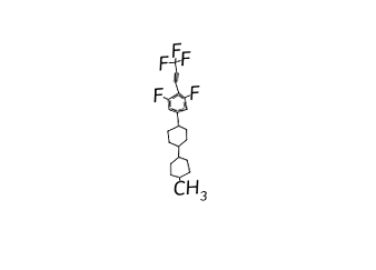 CC1CCC(C2CCC(c3cc(F)c(C#CC(F)(F)F)c(F)c3)CC2)CC1